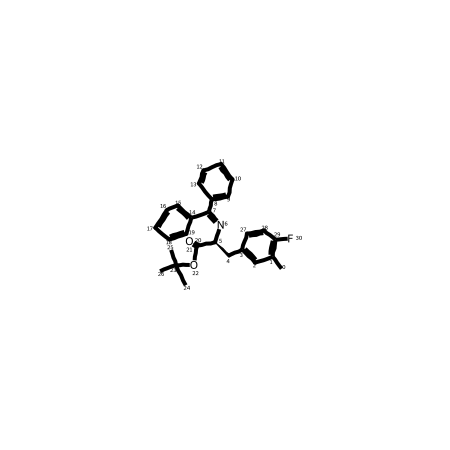 Cc1cc(C[C@H](N=C(c2ccccc2)c2ccccc2)C(=O)OC(C)(C)C)ccc1F